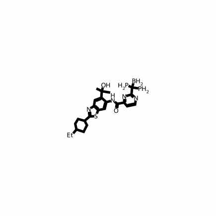 BC(P)(P)c1nccc(C(=O)Nc2cc3sc(C4CCC(CC)CC4)nc3cc2C(C)(C)O)n1